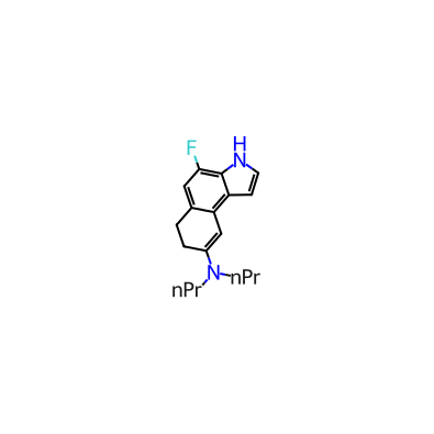 CCCN(CCC)C1=Cc2c(cc(F)c3[nH]ccc23)CC1